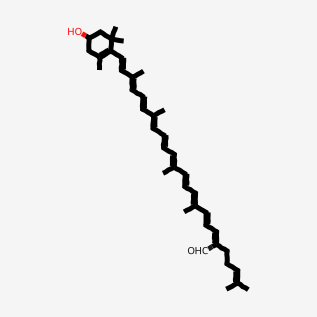 CC(C)=CCC/C(C=O)=C/C=C/C(C)=C/C=C/C(C)=C/C=C/C=C(C)/C=C/C=C(C)/C=C/C1=C(C)CC(O)CC1(C)C